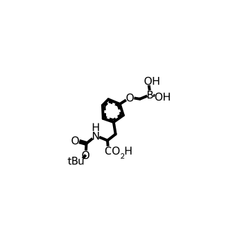 CC(C)(C)OC(=O)NC(Cc1cccc(OCB(O)O)c1)C(=O)O